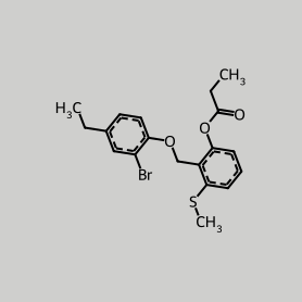 CCC(=O)Oc1cccc(SC)c1COc1ccc(CC)cc1Br